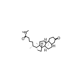 C[C@H](CCCC(=O)N(C)C)[C@H]1CC[C@H]2[C@@H]3CC[C@@H]4CC(=O)CC[C@]4(C)[C@H]3CC[C@]12C